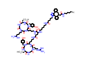 CC(=O)CCCCCNC(=O)CC1Cc2ccccc2-c2nnn(CCCCC(=O)NCCCCCC(=O)NC(CCC(=O)NCCCCC3NC(=O)[C@@H](CCCNC(=N)N)NC(=O)CNC(=O)[C@@H](CC(=O)O)NC(=O)[C@H](Cc4ccc(O)cc4)NC3=O)C(=O)NCCCCC3NC(=O)[C@@H](CCCCC(=N)N)NC(=O)CNC(=O)[C@@H](CC(=O)O)NC(=O)[C@H](Cc4ccc(O)cc4)NC3=O)c2-c2ccccc21